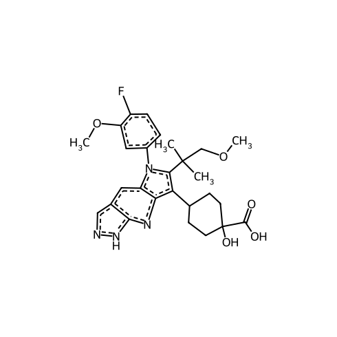 COCC(C)(C)c1c(C2CCC(O)(C(=O)O)CC2)c2nc3[nH]ncc3cc2n1-c1ccc(F)c(OC)c1